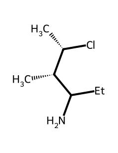 CCC(N)[C@H](C)[C@H](C)Cl